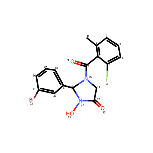 Cc1cccc(F)c1C(=O)N1CC(=O)N(O)C1c1cccc(Br)c1